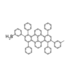 Bc1cccc(-c2cc(-c3ccccc3)c3c4cccc5c6c(-c7ccccc7)c(-c7cccc(C)c7)cc(-c7ccccc7)c6c6cccc(c3c2-c2ccccc2)c6c45)c1